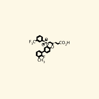 Cc1cccc(-c2ccc3c(c2)N(S(=O)(=O)c2cccc(C(F)(F)F)c2)C[C@H](CCC(=O)O)O3)c1F